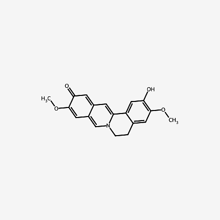 COc1cc2c(cc1O)-c1cc3cc(=O)c(OC)cc-3cn1CC2